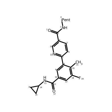 CCCC(C)NC(=O)c1ccc(-c2cc(C(=O)NC3CC3)cc(F)c2C)nc1